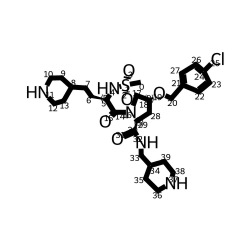 CS(=O)(=O)N[C@H](CCC1CCNCC1)C(=O)N1C[C@H](OCc2ccc(Cl)cc2)C[C@H]1C(=O)NCC1CCNCC1